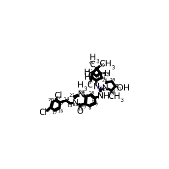 C[C@@H]1C(/N=C(/Nc2ccc3c(=O)n(CCc4ccc(Cl)cc4Cl)cnc3c2)N2CC[C@H](O)[C@H]2C)C[C@@H]2C[C@H]1C2(C)C